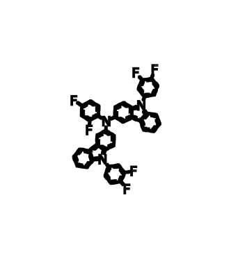 Fc1ccc(N(c2ccc3c(c2)c2ccccc2n3-c2ccc(F)c(F)c2)c2ccc3c(c2)c2ccccc2n3-c2ccc(F)c(F)c2)c(F)c1